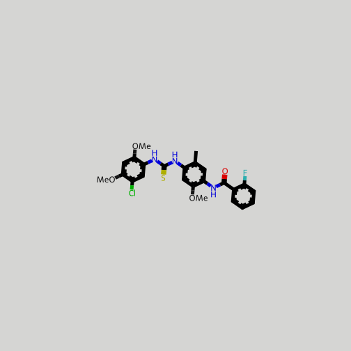 COc1cc(OC)c(NC(=S)Nc2cc(OC)c(NC(=O)c3ccccc3F)cc2C)cc1Cl